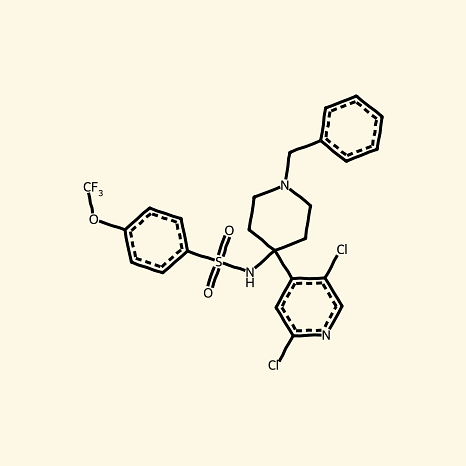 O=S(=O)(NC1(c2cc(Cl)ncc2Cl)CCN(Cc2ccccc2)CC1)c1ccc(OC(F)(F)F)cc1